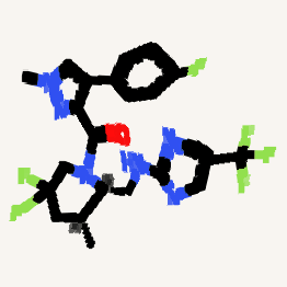 C[C@@H]1CC(F)(F)CN(C(=O)c2nn(C)cc2-c2ccc(F)cc2)[C@@H]1CNc1ncc(C(F)(F)F)cn1